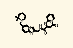 CC1(C)CCCCN1Cc1ccc2nc(CNC(=O)c3cc(=O)n4ccccc4n3)cn2c1